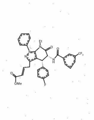 CCN1C(=O)[C@H](NC(=O)c2cccc(C(F)(F)F)c2)[C@H](c2ccc(F)cc2)c2c(C/C=C/C(=O)OC)nn(-c3ccccc3)c21